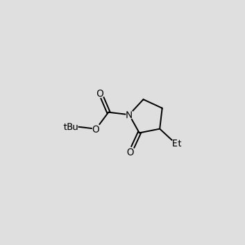 CCC1CCN(C(=O)OC(C)(C)C)C1=O